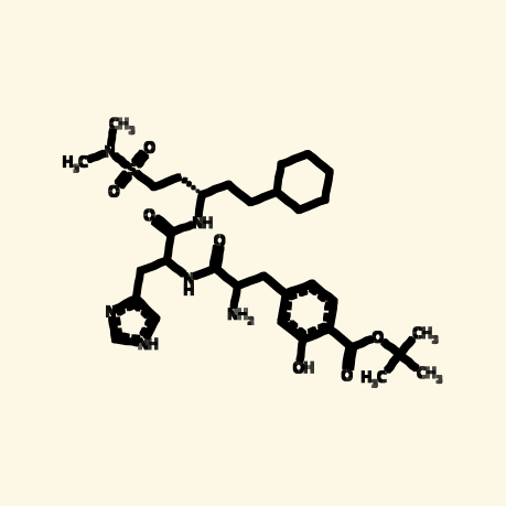 CN(C)S(=O)(=O)CC[C@H](CCC1CCCCC1)NC(=O)C(Cc1c[nH]cn1)NC(=O)C(N)Cc1ccc(C(=O)OC(C)(C)C)c(O)c1